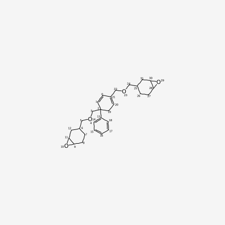 C1=CC(COCC2CCC3OC3C2)(c2ccccc2)CC=C1COCC1CCC2OC2C1